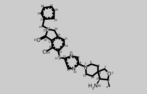 C[C@@H]1OCC2(CCN(c3cnc(Sc4ccc5c(c4Cl)C(=O)N(Cc4ccccc4)C5)cn3)CC2)[C@@H]1N